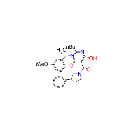 CCCCc1nc(O)c(C(=O)N2CC[C@@H](c3ccccc3)C2)c(=O)n1[C@@H](C)c1cccc(OC)c1